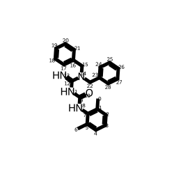 Cc1cccc(C)c1NC(=O)NC(=N)N(Cc1ccccc1)Cc1ccccc1